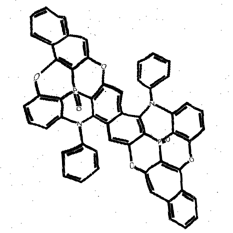 O=P12c3c4cccc3N(c3ccccc3)c3c1c(cc1c5c6c(cc31)Oc1cc3ccccc3c3c1P6(=O)c1c(cccc1N5c1ccccc1)O3)Oc1cc3ccccc3c(c12)O4